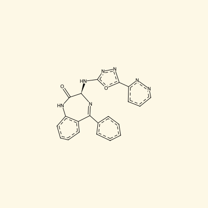 O=C1Nc2ccccc2C(c2ccccc2)=N[C@@H]1Nc1nnc(-c2cccnn2)o1